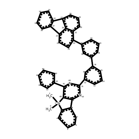 C[Si]1(C)c2ccccc2-c2nc(-c3cccc(-c4cccc(-c5ccc6c7c(cccc57)-c5ccccc5-6)c4)c3)nc(-c3ccccc3)c21